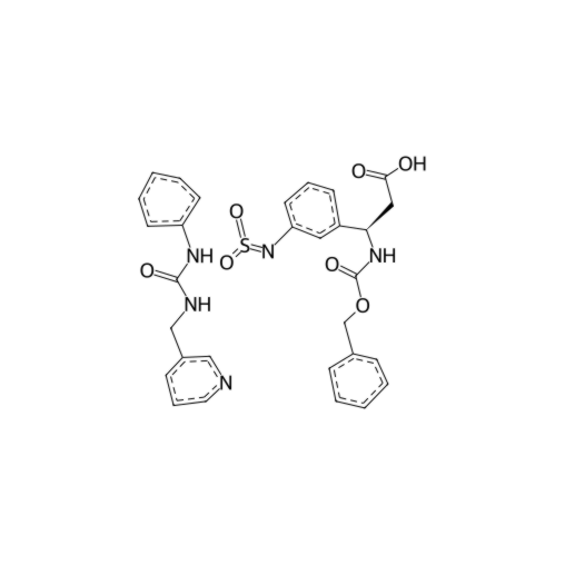 O=C(NCc1cccnc1)Nc1ccccc1.O=C(O)C[C@@H](NC(=O)OCc1ccccc1)c1cccc(N=S(=O)=O)c1